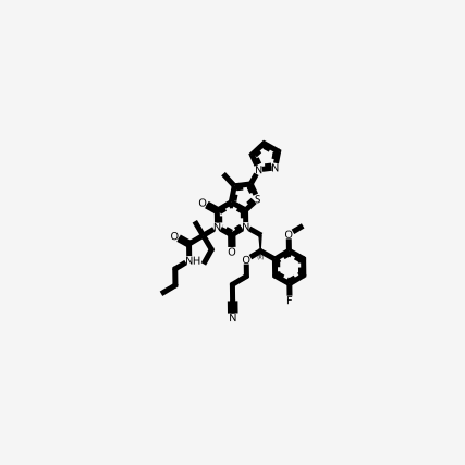 CCCNC(=O)C(C)(CC)n1c(=O)c2c(C)c(-n3cccn3)sc2n(C[C@H](OCCC#N)c2cc(F)ccc2OC)c1=O